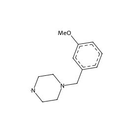 COc1cccc(CN2CC[N]CC2)c1